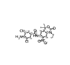 CCN1C(=O)OC(C)(C)c2cc(NC(=O)c3cc(Cl)c(N)c(Cl)c3)c([N+](=O)[O-])cc21